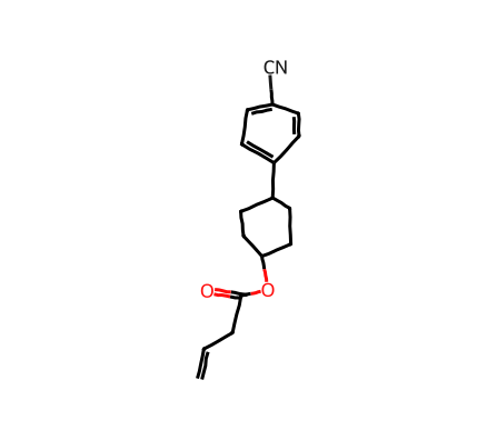 C=CCC(=O)OC1CCC(c2ccc(C#N)cc2)CC1